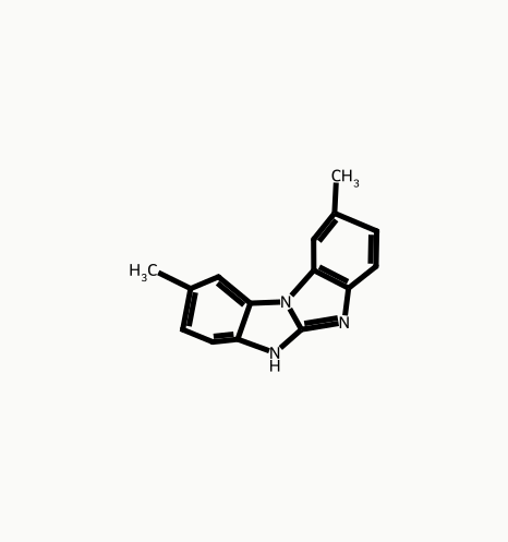 Cc1ccc2nc3[nH]c4ccc(C)cc4n3c2c1